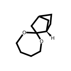 C1CCOC2(CC3CC[C@H]2C3)OC1